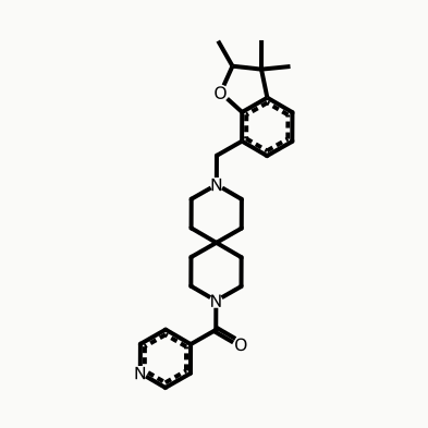 CC1Oc2c(CN3CCC4(CC3)CCN(C(=O)c3ccncc3)CC4)cccc2C1(C)C